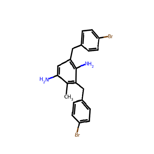 Cc1c(N)cc(Cc2ccc(Br)cc2)c(N)c1Cc1ccc(Br)cc1